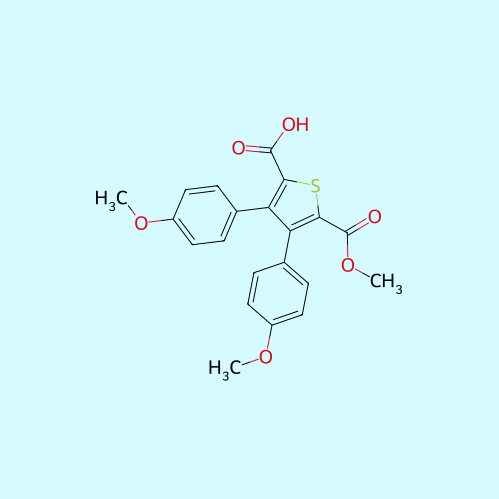 COC(=O)c1sc(C(=O)O)c(-c2ccc(OC)cc2)c1-c1ccc(OC)cc1